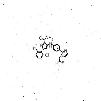 NC(=O)c1nn(-c2c(Cl)cccc2Cl)cc1Nc1ccc(-c2nccn2CC(F)F)cc1